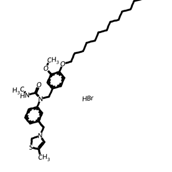 Br.CCCCCCCCCCCCCCOc1ccc(CN(C(=O)NC)c2cccc(CN3C=C(C)SC3)c2)cc1OC